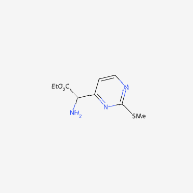 CCOC(=O)C(N)c1ccnc(SC)n1